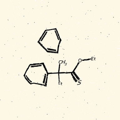 CCOC(=S)C(C)(CC)c1ccccc1.c1ccccc1